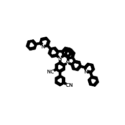 N#Cc1cccc(-c2cc(-n3c4ccccc4c4cc(-c5cccc(-c6ccccc6)n5)ccc43)c(-n3c4ccccc4c4cc(-c5cccc(-c6ccccc6)n5)ccc43)cc2C#N)c1